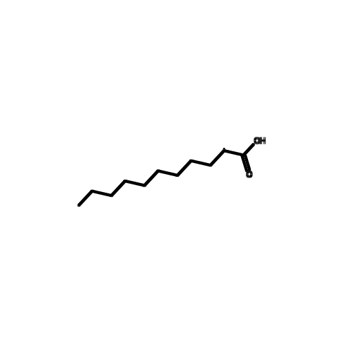 CCCCCCCCC[CH]C(=O)O